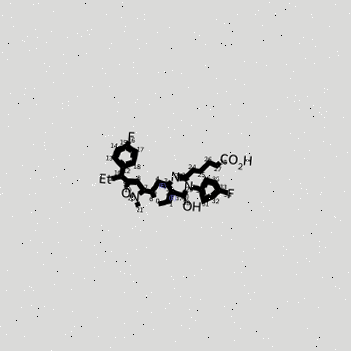 C/C=C1\C(=C/C(C)C2C=C(C(CC)c3ccc(F)cc3)ON2C)N=C(CCCCC(=O)O)N(c2ccc(F)cc2)[C@H]1O